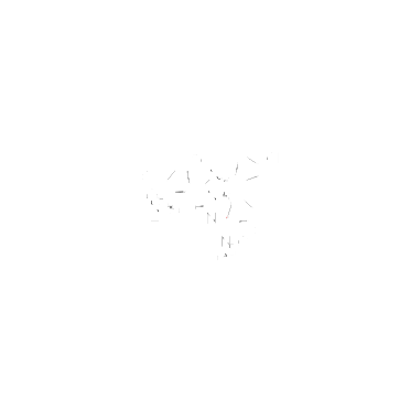 CCOc1cc(Cl)c(S(=O)(=O)NC(C)(C)C)cc1C1=N[C@@H](c2ccc(Cl)cc2)[C@@H](c2ccc(Cl)cc2)N1C(=O)N1CCN(S(=O)(=O)CC)CC1